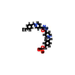 CCc1ccc(C[n+]2ccc(-c3nnc(-c4cc[n+](Cc5ccc(COP(=O)=O)cc5)cc4)o3)cc2)cc1